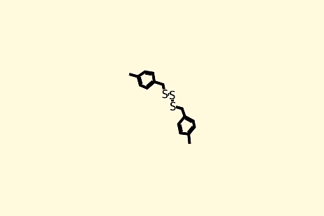 Cc1ccc(CSSSCc2ccc(C)cc2)cc1